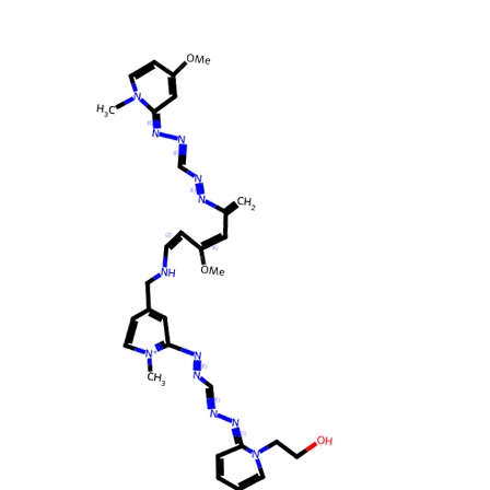 C=C(/C=C(\C=C/NCc1cc[n+](C)c(/N=N/C=N/N=c2\ccccn2CCO)c1)OC)/N=N/C=N/N=c1\cc(OC)ccn1C